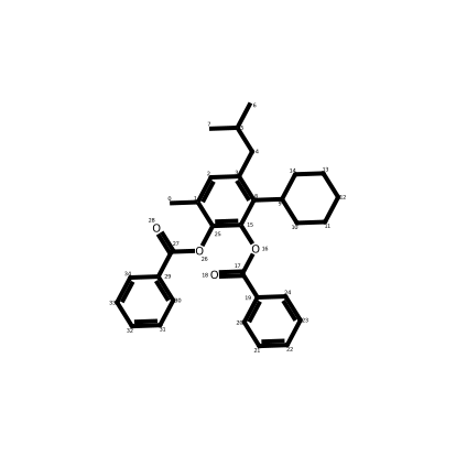 Cc1cc(CC(C)C)c(C2CCCCC2)c(OC(=O)c2ccccc2)c1OC(=O)c1ccccc1